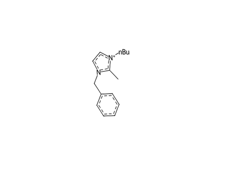 CCCC[n+]1ccn(Cc2ccccc2)c1C